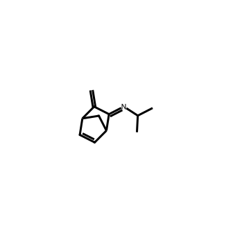 C=C1C(=NC(C)C)C2C=CC1C2